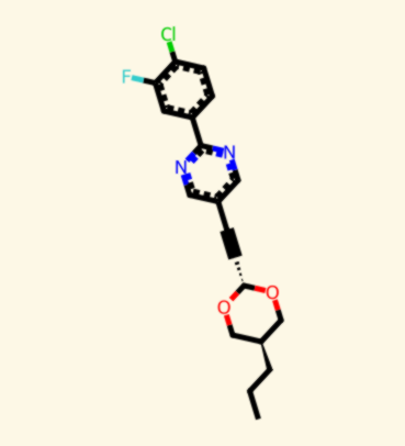 CCC[C@H]1CO[C@H](C#Cc2cnc(-c3ccc(Cl)c(F)c3)nc2)OC1